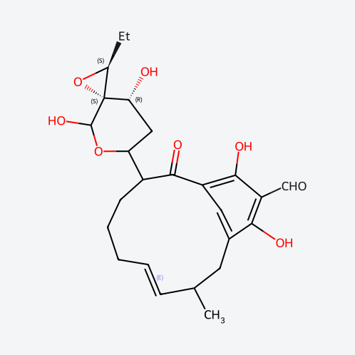 CC[C@@H]1O[C@]12C(O)OC(C1CCC/C=C/C(C)Cc3cc(c(O)c(C=O)c3O)C1=O)C[C@H]2O